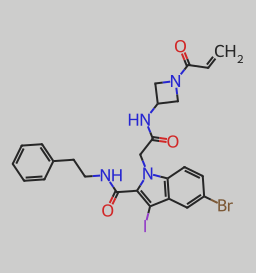 C=CC(=O)N1CC(NC(=O)Cn2c(C(=O)NCCc3ccccc3)c(I)c3cc(Br)ccc32)C1